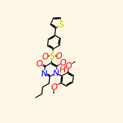 CCCCc1nc(=O)c(S(=O)(=O)c2ccc(-c3cccs3)cc2)c(O)n1-c1c(OC)cccc1OC